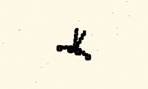 CCCCCCCCC1(CCCCCCCC)c2cc(/C=C/C=O)ccc2-c2ccc(/C=C/C=O)cc21